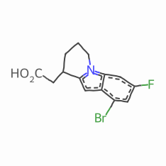 O=C(O)CC1CCCn2c1cc1c(Br)cc(F)cc12